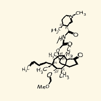 C=CC=C[C@]1(C)C[C@@H](OC(=O)NC(=O)[C@H]2CN(C)CC[C@@H]2C)[C@@]2(C)C3C(=O)CCC3(CC[C@H]2C)[C@@H](C)[C@@H]1OCOC